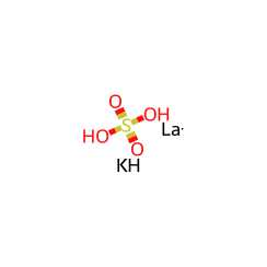 O=S(=O)(O)O.[KH].[La]